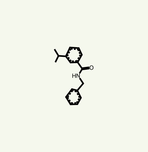 CC(C)c1cccc(C(=O)NCc2ccccc2)c1